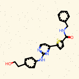 O=C(NCc1ccccc1)c1ccc(-c2ccnc(Nc3ccc(CCO)cc3)n2)s1